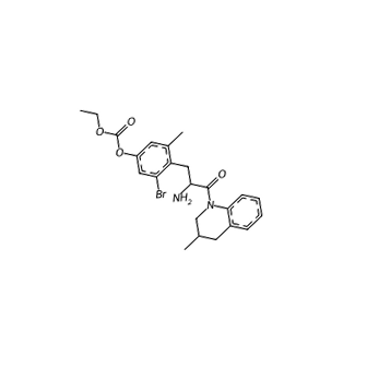 CCOC(=O)Oc1cc(C)c(CC(N)C(=O)N2CC(C)Cc3ccccc32)c(Br)c1